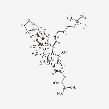 CN(C)C(=O)Cn1cc2c(Cl)c(-c3cn(COCC[Si](C)(C)C)c4nc(N5C6CCC5CC(NC(=O)OC(C)(C)C)C6)cnc34)ccc2n1